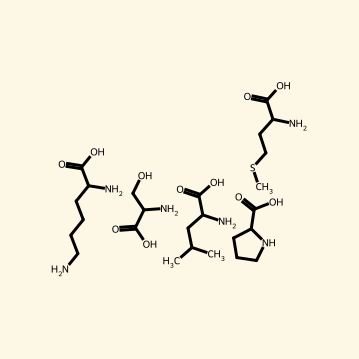 CC(C)CC(N)C(=O)O.CSCCC(N)C(=O)O.NC(CO)C(=O)O.NCCCCC(N)C(=O)O.O=C(O)C1CCCN1